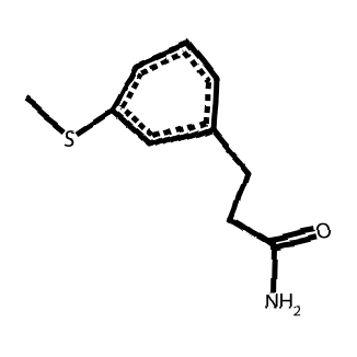 CSc1cccc(CCC(N)=O)c1